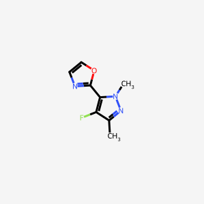 Cc1nn(C)c(-c2ncco2)c1F